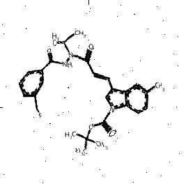 Cc1ccc2c(c1)c(/C=C/C(=O)N(NC(=O)c1cccc(F)c1)C(C)C)cn2C(=O)OC(C)(C)C